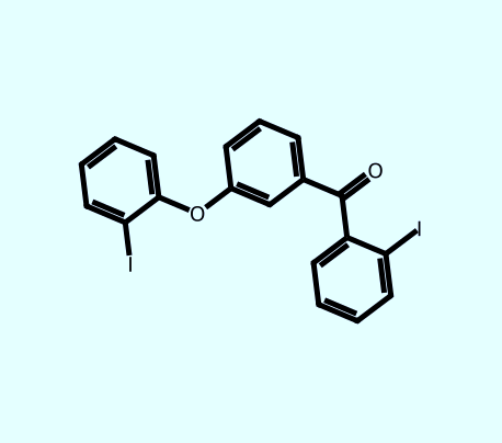 O=C(c1cccc(Oc2ccccc2I)c1)c1ccccc1I